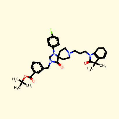 CC(C)(C)OC(=O)c1cccc(CN2CN(c3ccc(F)cc3)C3(CCN(CCCN4C(=O)C(C)(C)C5=C4CCC=C5)CC3)C2=O)c1